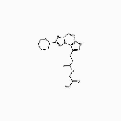 CNC(=O)CNC(=O)CCc1c[nH]c2ncc3nc(C4CCCCC4)cn3c12